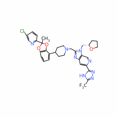 CC1(c2ccc(Cl)cn2)Oc2cccc(C3CCN(Cc4nc5cc(-c6nnc(C(F)(F)F)[nH]6)ncc5n4C[C@@H]4CCCO4)CC3)c2O1